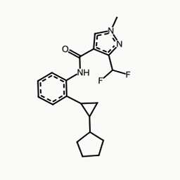 Cn1cc(C(=O)Nc2ccccc2C2CC2C2CCCC2)c(C(F)F)n1